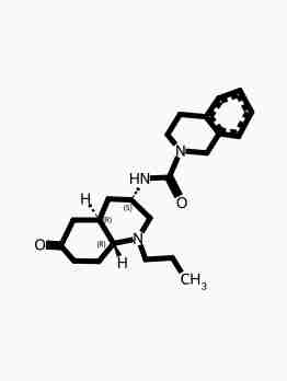 CCCN1C[C@@H](NC(=O)N2CCc3ccccc3C2)C[C@@H]2CC(=O)CC[C@H]21